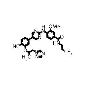 COc1cc(C(=O)NCCC(F)(F)F)ccc1Nc1ncc(-c2ccc(C#N)c(OC(C)Cn3cncn3)c2)cn1